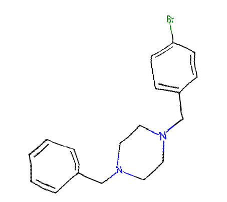 Brc1ccc(CN2CCN(Cc3ccccc3)CC2)cc1